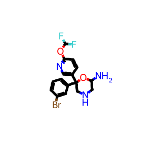 NC1CNCC(c2ccc(OC(F)F)nc2)(c2cccc(Br)c2)O1